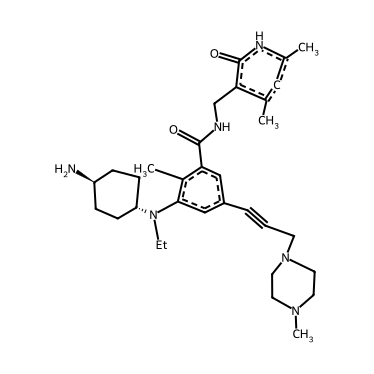 CCN(c1cc(C#CCN2CCN(C)CC2)cc(C(=O)NCc2c(C)cc(C)[nH]c2=O)c1C)[C@H]1CC[C@H](N)CC1